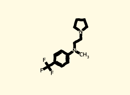 CN(CCN1CCCC1)c1ccc(C(F)(F)F)cc1